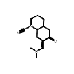 CN(C)C=C1CC2C(CCCN2C#N)CC1=O